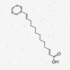 O=C(O)C=CCCCCCCCCC=Cc1ccccc1